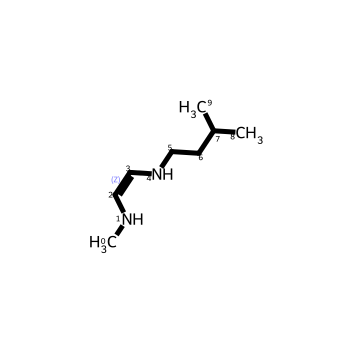 CN/C=C\NCCC(C)C